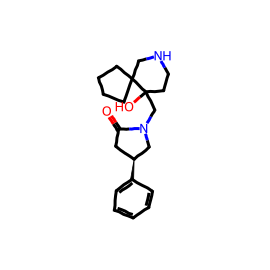 O=C1C[C@H](c2ccccc2)CN1CC1(O)CCNCC12CCCC2